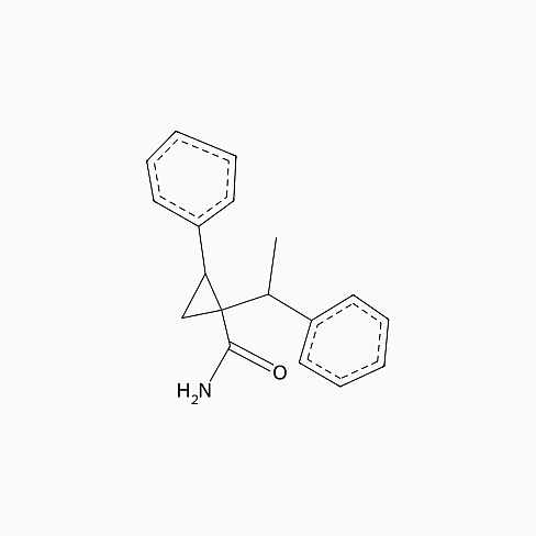 CC(c1ccccc1)C1(C(N)=O)CC1c1ccccc1